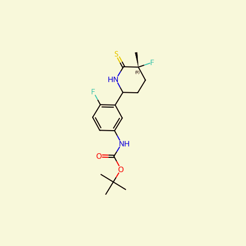 CC(C)(C)OC(=O)Nc1ccc(F)c(C2CC[C@@](C)(F)C(=S)N2)c1